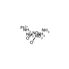 N.N.N.N.O=[N+]([O-])[O-].O=[N+]([O-])[O-].[Pt+2]